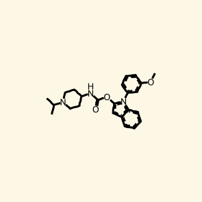 COc1cccc(-n2c(OC(=O)NC3CCN(C(C)C)CC3)cc3ccccc32)c1